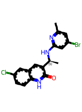 Cc1cc(Br)cc(N[C@@H](C)c2cc3cc(Cl)ccc3[nH]c2=O)n1